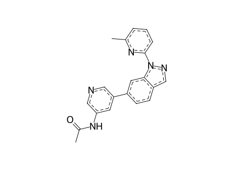 CC(=O)Nc1cncc(-c2ccc3cnn(-c4cccc(C)n4)c3c2)c1